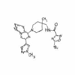 Cn1cc(-c2cn3nccc3c(N3CCC(C)(CNC(=O)c4noc(C(C)(C)C)n4)CC3)n2)cn1